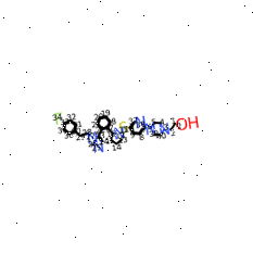 OCCN1CCN(c2ccc(SN3CCCC3c3ccccc3-c3cncn3CCc3ccc(F)cc3)cn2)CC1